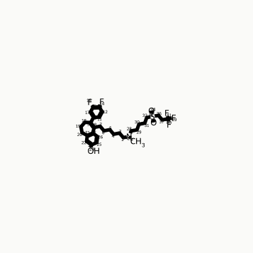 CN(CCCCCCC1=C(c2ccc(F)c(F)c2)CCCc2cc(O)ccc21)CCCCCS(=O)(=O)CCC(F)(F)F